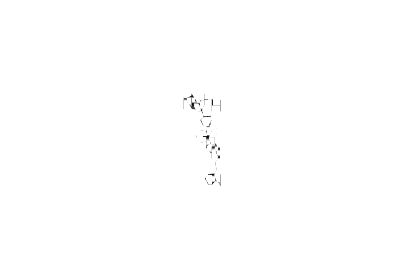 CC(Sc1ncc[nH]1)c1ccc(OC(=O)N2CCN(CCCc3ccccn3)CC2)cc1